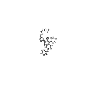 O=C(O)CCSc1cnc(NC(=O)N(C2CCCCC2)C2CCC(Oc3ccccn3)CC2)s1